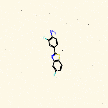 Nc1ccc(-c2nc3cc(F)ccc3s2)cc1F